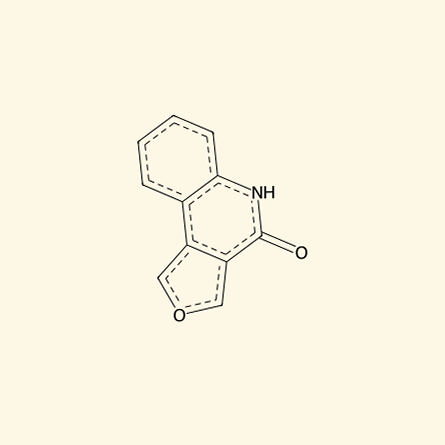 O=c1[nH]c2ccccc2c2cocc12